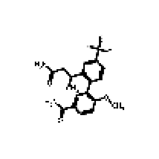 COc1ccc(C(N)=O)cc1-c1ccc(C(F)(F)F)cc1C(C)CC(N)=O